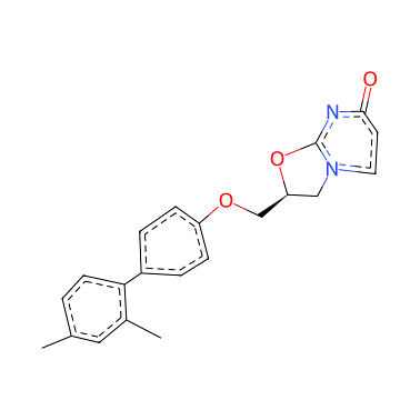 Cc1ccc(-c2ccc(OC[C@@H]3Cn4ccc(=O)nc4O3)cc2)c(C)c1